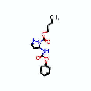 CCCCOC(=O)n1nccc1NC(=O)Oc1ccccc1